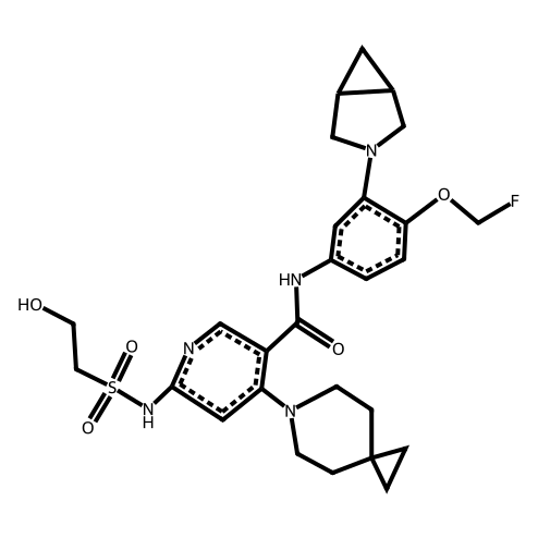 O=C(Nc1ccc(OCF)c(N2CC3CC3C2)c1)c1cnc(NS(=O)(=O)CCO)cc1N1CCC2(CC1)CC2